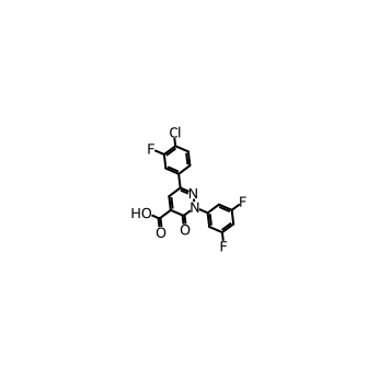 O=C(O)c1cc(-c2ccc(Cl)c(F)c2)nn(-c2cc(F)cc(F)c2)c1=O